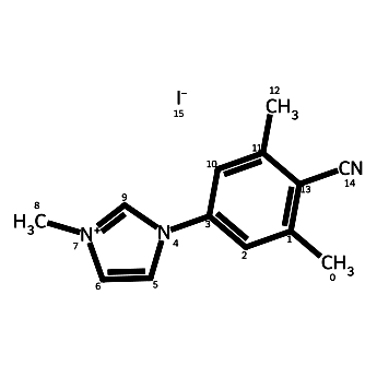 Cc1cc(-n2cc[n+](C)c2)cc(C)c1C#N.[I-]